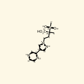 C[C@@](CCn1cc(-c2cnccn2)cn1)(C(=O)O)S(C)(=O)=O